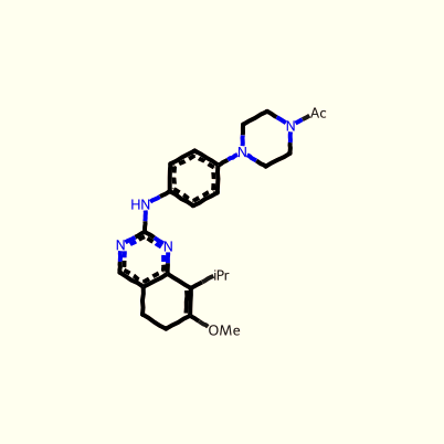 COC1=C(C(C)C)c2nc(Nc3ccc(N4CCN(C(C)=O)CC4)cc3)ncc2CC1